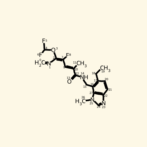 C=N/C(OC(F)F)=C(F)\C=C(/C)C(=O)NCc1c(CC)ccc2ncn(C)c12